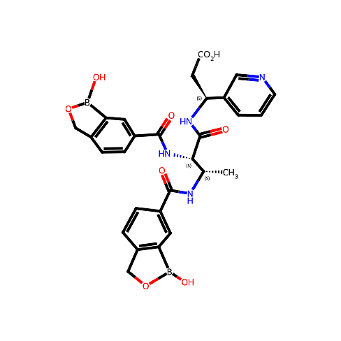 C[C@H](NC(=O)c1ccc2c(c1)B(O)OC2)[C@H](NC(=O)c1ccc2c(c1)B(O)OC2)C(=O)N[C@@H](CC(=O)O)c1cccnc1